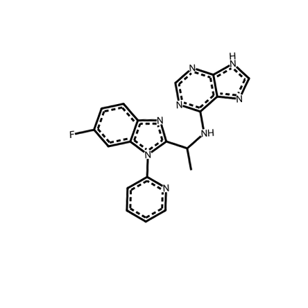 CC(Nc1ncnc2[nH]cnc12)c1nc2ccc(F)cc2n1-c1ccccn1